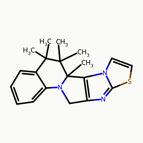 CC1(C)c2ccccc2N2Cc3nc4sccn4c3C2(C)C1(C)C